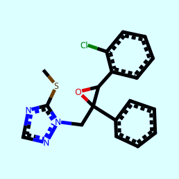 CSc1ncnn1CC1(c2ccccc2)OC1c1ccccc1Cl